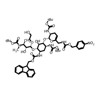 C[C@@H]([C@@H](O)[C@H](OCCO)O[C@@H]1[C@@H](O)[C@H](O[C@H]2OC(CNC(=O)OCc3ccc([N+](=O)[O-])cc3)=CC[C@H]2NC(=O)OC(C)(C)C)[C@@H](NC(=O)OC(C)(C)C)C[C@H]1NC(=O)OCC1c2ccccc2-c2ccccc21)N(C)C(=O)OC(C)(C)C